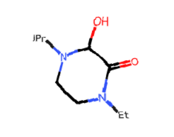 CCN1CCN(C(C)C)C(O)C1=O